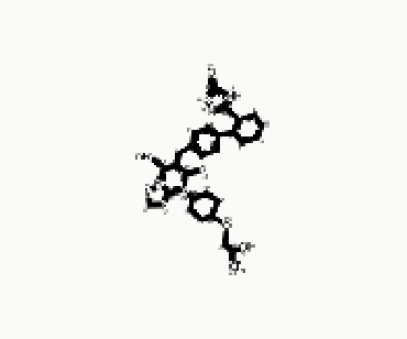 CCCc1c(Cc2ccc(-c3ccccc3-c3noc(=O)[nH]3)cc2)c(=O)n(C2CCC(OCC(O)C(F)(F)F)CC2)c2ncnn12